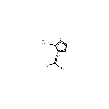 Cc1cccs1.NC(N)=O.S